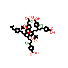 CC(C)Cc1ccc(CCC(CC(CC(CC(Cl)c2ccc(C(=O)O)cc2)OC(=O)C(C)(C)C)c2ccc(CCC(CC(Cl)c3ccc(C(=O)O)cc3)c3ccc(C(=O)O)cc3)cc2)c2ccc(CCC(CC(Cl)C(=O)O)C(=O)OC(C)(C)C)cc2)cc1